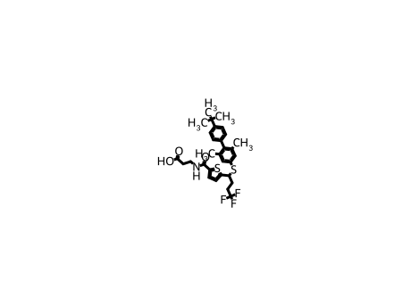 Cc1cc(SC(CCC(F)(F)F)c2ccc(C(=O)NCCC(=O)O)s2)cc(C)c1-c1ccc(C(C)(C)C)cc1